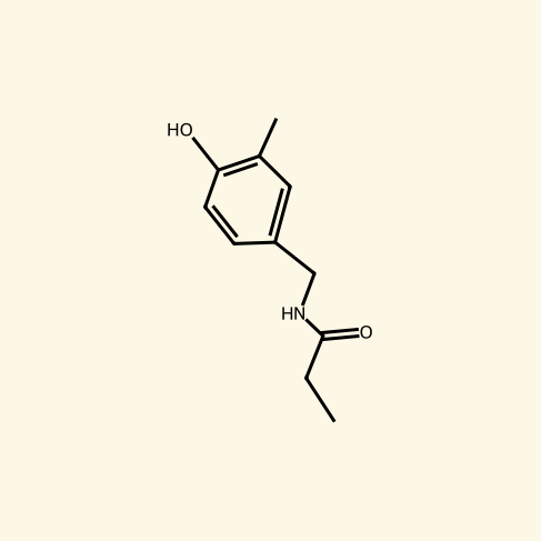 CCC(=O)NCc1ccc(O)c(C)c1